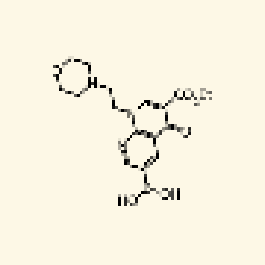 CCOC(=O)c1cn(CCN2CCOCC2)c2ncc(B(O)O)cc2c1=O